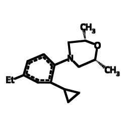 CCc1ccc(N2C[C@@H](C)O[C@@H](C)C2)c(C2CC2)c1